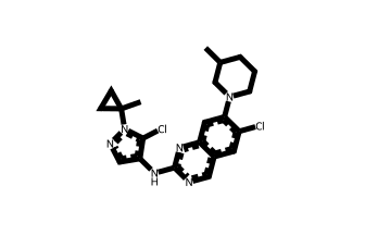 CC1CCCN(c2cc3nc(Nc4cnn(C5(C)CC5)c4Cl)ncc3cc2Cl)C1